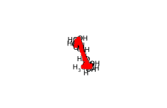 CC(=O)NC1[C@H](OCOC(=O)NCCSSCCNC(=O)OCO[C@@H]2OC(CO)[C@H](O)[C@H](O)C2NC(C)=O)OC(CO)[C@H](O)[C@@H]1O